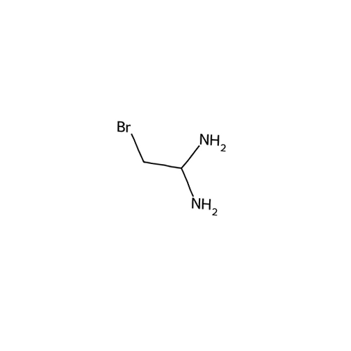 NC(N)CBr